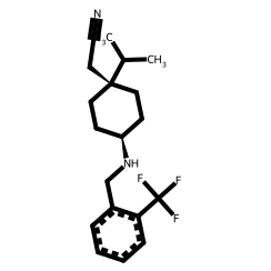 CC(C)[C@]1(CC#N)CC[C@@H](NCc2ccccc2C(F)(F)F)CC1